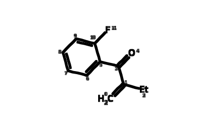 C=C(CC)C(=O)c1ccccc1F